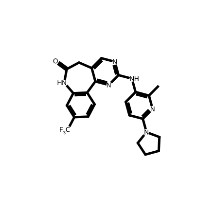 Cc1nc(N2CCCC2)ccc1Nc1ncc2c(n1)-c1ccc(C(F)(F)F)cc1NC(=O)C2